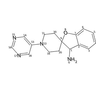 NC1c2ccccc2OC12CCN(c1cncnc1)CC2